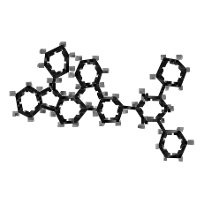 c1ccc(-c2nc(-c3ccccc3)nc(-c3ccc4c(c3)c3ccccc3c3c4ccc4c5ccccc5n(-c5ccccc5)c43)n2)cc1